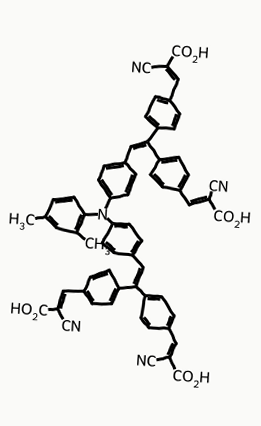 Cc1ccc(N(c2ccc(C=C(c3ccc(/C=C(\C#N)C(=O)O)cc3)c3ccc(/C=C(\C#N)C(=O)O)cc3)cc2)c2ccc(C=C(c3ccc(/C=C(\C#N)C(=O)O)cc3)c3ccc(/C=C(\C#N)C(=O)O)cc3)cc2)c(C)c1